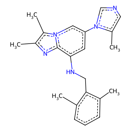 Cc1cccc(C)c1CNc1cc(-n2cncc2C)cn2c(C)c(C)nc12